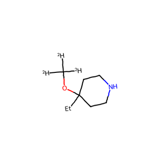 [2H]C([2H])([2H])OC1(CC)CCNCC1